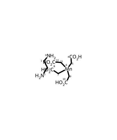 NCCN.O=C(O)[CH2][Mn]([CH2]C(=O)O)([CH2]C(=O)O)[CH2]C(=O)O